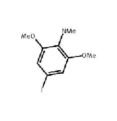 CNc1c(OC)cc(I)cc1OC